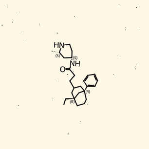 CC[C@@]12CCC[C@@](c3ccccc3)(CC(CCC(=O)N[C@H]3CCN[C@@H](C)C3)C1)C2